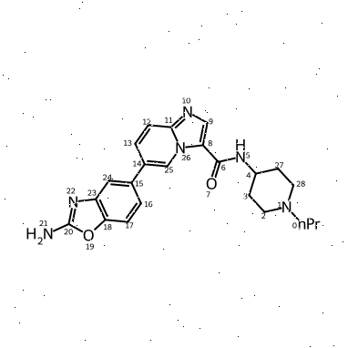 CCCN1CCC(NC(=O)c2cnc3ccc(-c4ccc5oc(N)nc5c4)cn23)CC1